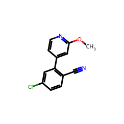 COc1cc(-c2cc(Cl)ccc2C#N)ccn1